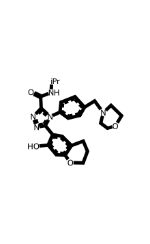 CC(C)NC(=O)c1nnc(-c2cc3c(cc2O)OCCC3)n1-c1ccc(CN2CCOCC2)cc1